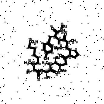 CC[C@H](C)[C@@H]([C@@H](CC(=O)N1CCC[C@H]1[C@H](OC)[C@@H](C)C(=O)N[C@@H](Cc1ccc(O)cc1)C(=O)NC(C)(C)C)OC)N(C)C(=O)[C@@H](NC(=O)[C@H](C(C)C)N(C)CCCCCC(=O)O)C(C)C